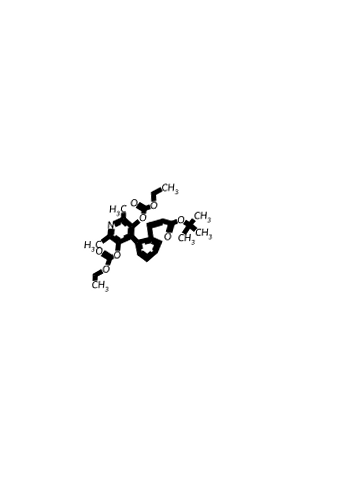 CCOC(=O)Oc1c(C)nc(C)c(OC(=O)OCC)c1-c1ccccc1C=CC(=O)OC(C)(C)C